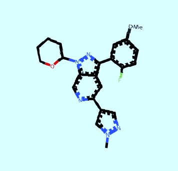 COc1ccc(F)c(-c2nn(C3CCCCO3)c3cnc(-c4cnn(C)c4)cc23)c1